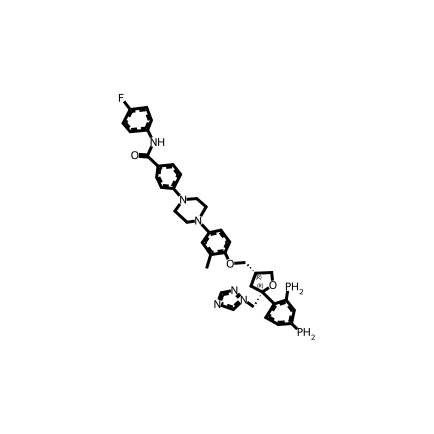 Cc1cc(N2CCN(c3ccc(C(=O)Nc4ccc(F)cc4)cc3)CC2)ccc1OC[C@@H]1CO[C@@](Cn2cncn2)(c2ccc(P)cc2P)C1